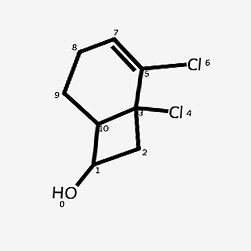 OC1CC2(Cl)C(Cl)=CCCC12